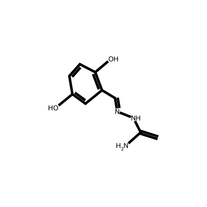 C=C(N)N/N=C/c1cc(O)ccc1O